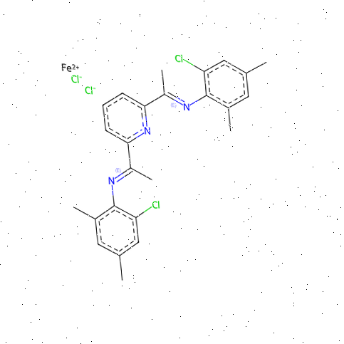 C/C(=N\c1c(C)cc(C)cc1Cl)c1cccc(/C(C)=N/c2c(C)cc(C)cc2Cl)n1.[Cl-].[Cl-].[Fe+2]